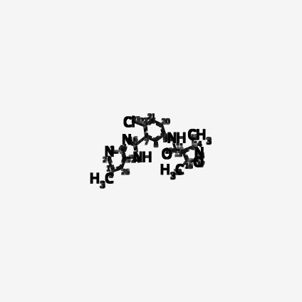 Cc1cnc2nc(-c3cc(NC(=O)c4c(C)noc4C)ccc3Cl)[nH]c2c1